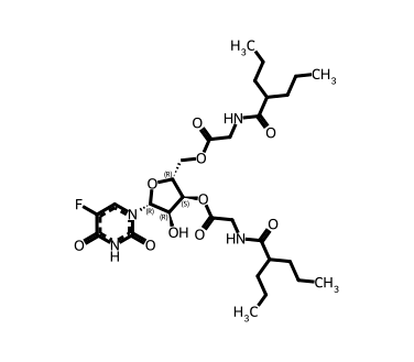 CCCC(CCC)C(=O)NCC(=O)OC[C@H]1O[C@@H](n2cc(F)c(=O)[nH]c2=O)[C@H](O)[C@@H]1OC(=O)CNC(=O)C(CCC)CCC